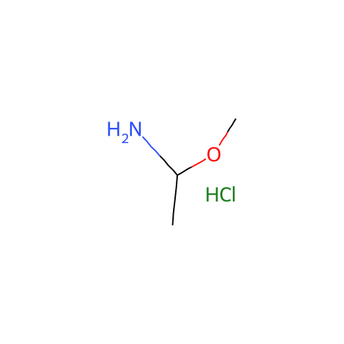 COC(C)N.Cl